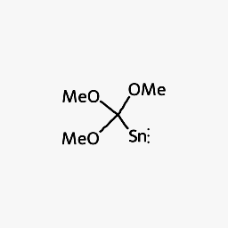 CO[C]([Sn])(OC)OC